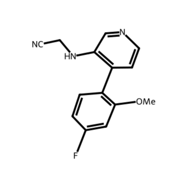 COc1cc(F)ccc1-c1ccncc1NCC#N